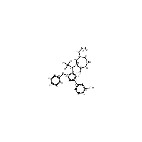 CC(C)(C)[C@H](c1nc(-c2cccc(F)c2)cn1Cc1ccccc1)N1C[C@@H](CN)COCC1=O